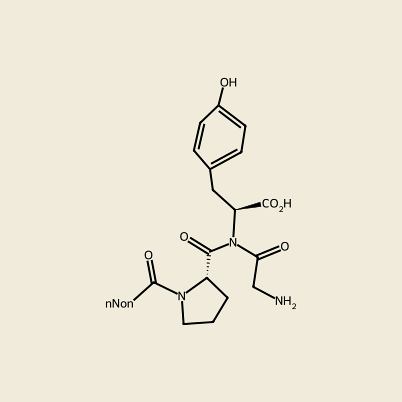 CCCCCCCCCC(=O)N1CCC[C@H]1C(=O)N(C(=O)CN)[C@@H](Cc1ccc(O)cc1)C(=O)O